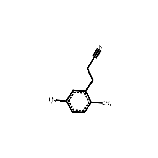 Cc1ccc(N)cc1CCC#N